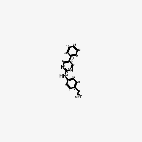 CC(C)Cc1ccc(Nc2ncc(-c3ccccc3)cn2)cc1